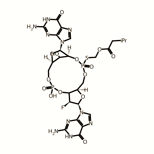 CC(C)CC(=O)OCSP1(=O)OC[C@H]2O[C@@H](n3cnc4c(=O)[nH]c(N)nc43)[C@@H](F)C2OP(=O)(O)OC[C@H]2O[C@@H](n3cnc4c(=O)[nH]c(N)nc43)[C@@H](O1)C2O